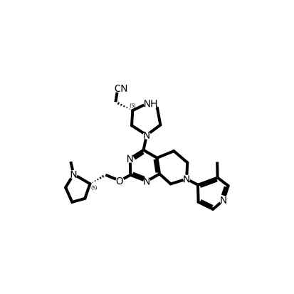 Cc1cnccc1N1CCc2c(nc(OC[C@@H]3CCCN3C)nc2N2CCN[C@@H](CC#N)C2)C1